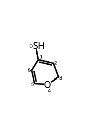 SC1=CCOC=C1